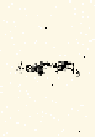 C=C(C)CCNCCCNC[C@@H]1CC[C@H](n2cc(-c3nc(OC)cs3)c3cncnc32)C1